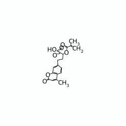 C=C(C)C(=O)OC(CCc1ccc2c(C)cc(=O)oc2c1)S(=O)(=O)O